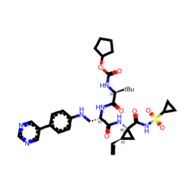 C=C[C@@H]1C[C@]1(NC(=O)[C@H](CNc1ccc(-c2cncnc2)cc1)NC(=O)[C@@H](NC(=O)OC1CCCC1)C(C)(C)C)C(=O)NS(=O)(=O)C1CC1